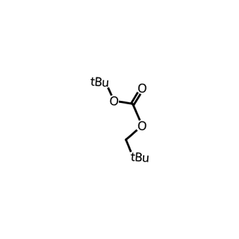 CC(C)(C)COC(=O)OC(C)(C)C